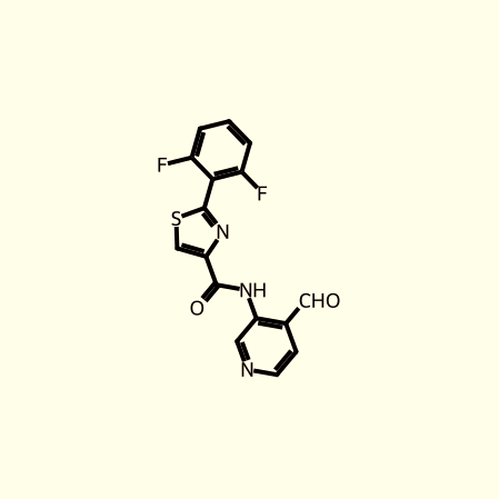 O=Cc1ccncc1NC(=O)c1csc(-c2c(F)cccc2F)n1